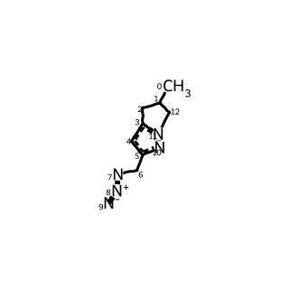 CC1Cc2cc(CN=[N+]=[N-])nn2C1